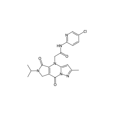 Cc1cc2n(CC(=O)Nc3ccc(Cl)cn3)c3c(c(=O)n2n1)CN(C(C)C)C3=O